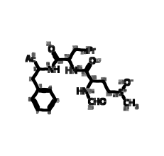 CC(=O)C(Cc1ccccc1)NC(=O)C(CC(C)C)NC(=O)C(CC[S+](C)[O-])NC=O